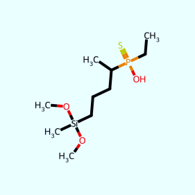 CCP(O)(=S)C(C)CCC[Si](C)(OC)OC